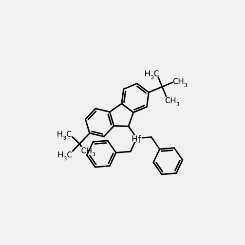 CC(C)(C)c1ccc2c(c1)[CH]([Hf]([CH2]c1ccccc1)[CH2]c1ccccc1)c1cc(C(C)(C)C)ccc1-2